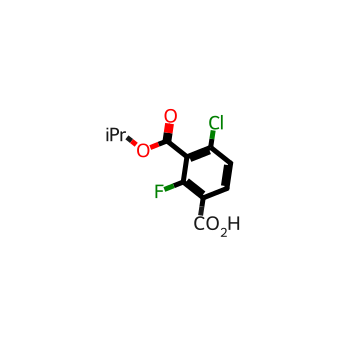 CC(C)OC(=O)c1c(Cl)ccc(C(=O)O)c1F